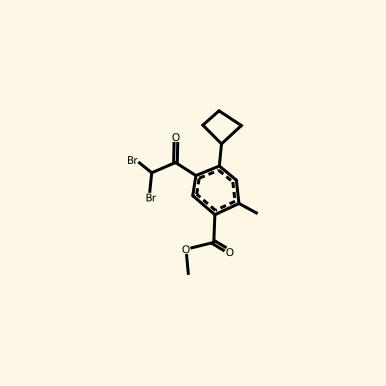 COC(=O)c1cc(C(=O)C(Br)Br)c(C2CCC2)cc1C